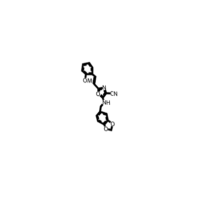 COc1ccccc1C=Cc1nc(C#N)c(NCc2ccc3c(c2)OCO3)o1